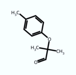 Cc1ccc(OC(C)(C)C=O)cc1